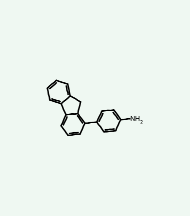 Nc1ccc(-c2cccc3c2Cc2ccccc2-3)cc1